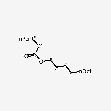 CCCCCCCCCCCCOS(=O)OCCCCC